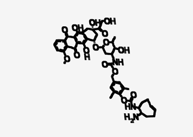 COc1cccc2c1C(=O)c1c(O)c3c(c(O)c1C2=O)C[C@@](O)(C(=O)CO)C[C@@H]3OC1CC(NC(=O)OCc2cc(C)c(OC(=O)NC3CC/C=C/CCC3N)c(C)c2)C(O)C(C)O1